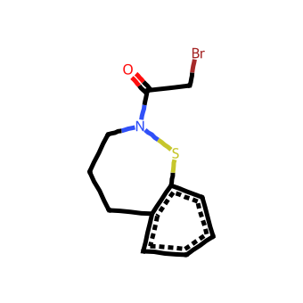 O=C(CBr)N1CCCc2ccccc2S1